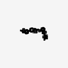 Cc1cc2ccc(C3CCN(C[C@H](O)COc4cccc5oc(-c6nnc(C)o6)cc45)CC3)cc2o1